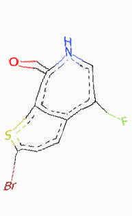 O=c1[nH]cc(F)c2cc(Br)sc12